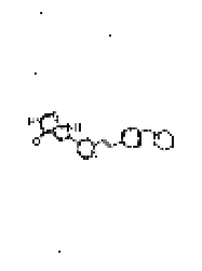 O=c1[nH]cnc2[nH]c(-c3ccnc(C=Cc4ccc(CN5CCCCC5)cc4)c3)cc12